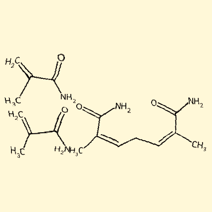 C=C(C)C(N)=O.C=C(C)C(N)=O.CC(=CCC=C(C)C(N)=O)C(N)=O